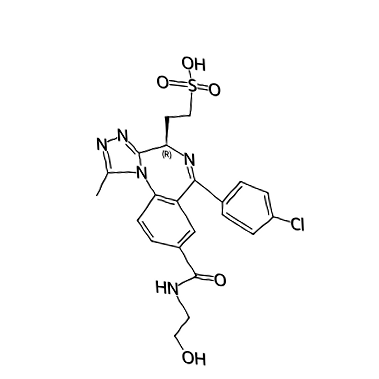 Cc1nnc2n1-c1ccc(C(=O)NCCO)cc1C(c1ccc(Cl)cc1)=N[C@@H]2CCS(=O)(=O)O